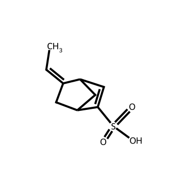 CC=C1CC2CC1C=C2S(=O)(=O)O